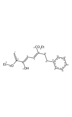 CCOC(=O)C(=CC=C(O)C(=S)OCC)CCc1ccccc1